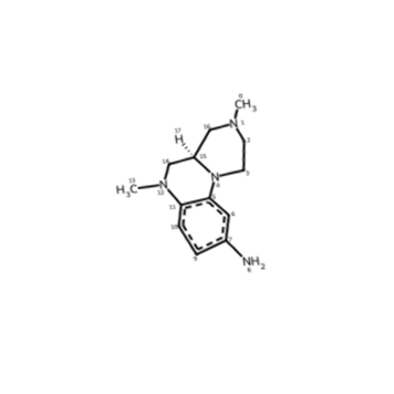 CN1CCN2c3cc(N)ccc3N(C)C[C@H]2C1